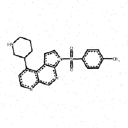 Cc1ccc(S(=O)(=O)n2ccc3c4c(C5CCCNC5)ccnc4cnc32)cc1